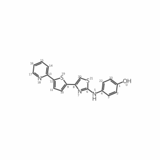 Oc1ccc(Nc2nc(-c3ccc(-c4ccccn4)s3)cs2)cc1